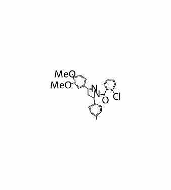 COc1ccc(C2=NN(C(=O)c3ccccc3Cl)C(c3ccc(C)cc3)C2)cc1OC